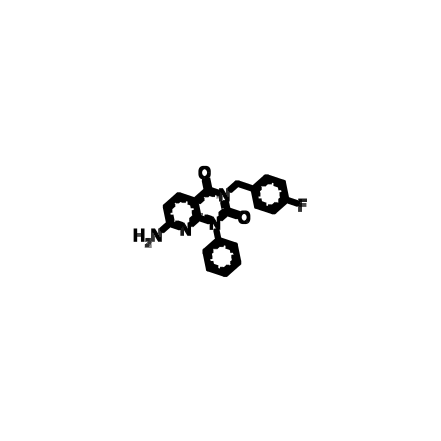 Nc1ccc2c(=O)n(Cc3ccc(F)cc3)c(=O)n(-c3ccccc3)c2n1